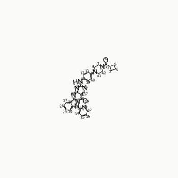 O=C(C1CCC1)N1CCN(c2ccc(Nc3ncc4c(=O)n5c(nc4n3)c3ccccc3n5-c3ccccn3)cc2)CC1